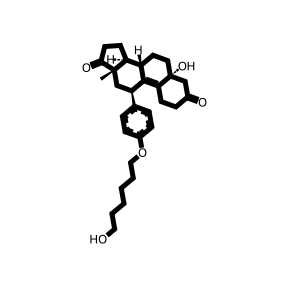 C[C@]12C[C@H](c3ccc(OCCCCCCO)cc3)C3=C4CCC(=O)C[C@]4(O)CC[C@H]3[C@@H]1CCC2=O